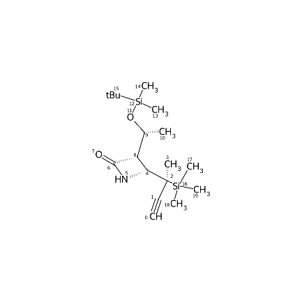 C#C[C@@](C)([C@@H]1NC(=O)[C@@H]1[C@@H](C)O[Si](C)(C)C(C)(C)C)[Si](C)(C)C